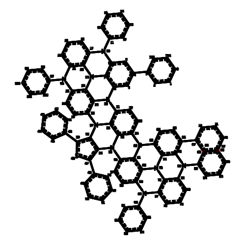 c1ccc(-c2cc3c4c(c2)N(c2ccccc2)c2cccc5c2N4c2c(ccc4c2B3c2ccc3c6c2N4c2c(-c4ccccc4)sc(-c4ccccc4)c2N6c2ccc4c6c2B3c2ccc(-c3ccccc3)c3c2N6c2c(cccc2N3c2ccccc2)N4c2ccccc2)N5c2ccccc2)cc1